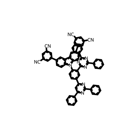 N#Cc1cc(C#N)cc(-c2ccc3c(c2)c2cc(-c4cc(C#N)cc(C#N)c4)ccc2n3-c2ccc(-c3cc(-c4ccccc4)nc(-c4ccccc4)n3)cc2-c2nc(-c3ccccc3)nc(-c3ccccc3)n2)c1